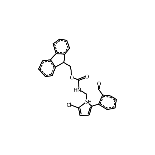 O=Cc1ccccc1C1=CC=C(Cl)[SH]1CNC(=O)OCC1c2ccccc2-c2ccccc21